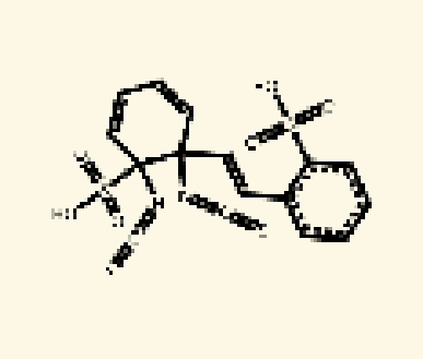 O=S(=O)(O)c1ccccc1C=CC1(N=C=S)C=CC=CC1(N=C=S)S(=O)(=O)O